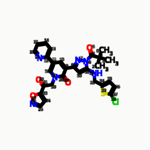 CC(C)(C)C(=O)n1nc(-c2cc(-c3ccccn3)cn(CC(=O)c3ccno3)c2=O)cc1NCc1ccc(Cl)s1